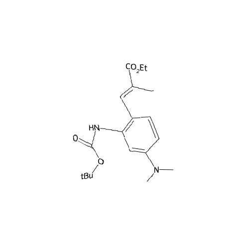 CCOC(=O)C(C)=Cc1ccc(N(C)C)cc1NC(=O)OC(C)(C)C